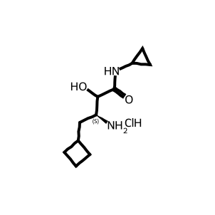 Cl.N[C@@H](CC1CCC1)C(O)C(=O)NC1CC1